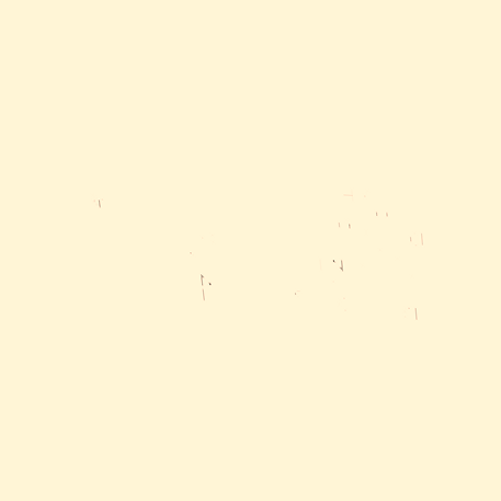 COC(=O)c1c(Cl)cc(Cl)cc1NC(=O)CSc1ccc(NC(=O)Cc2cccc(Br)c2)cc1